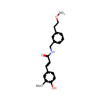 COc1cc(/C=C/C(=O)NCc2cccc(CCO[N+](=O)[O-])c2)ccc1O